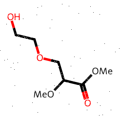 COC(=O)C(COCCO)OC